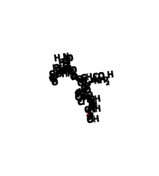 Cc1cccc2c(OC(=O)N(CCCC[C@H](N)C(=O)O)CCN(C)C(=O)OCc3ccc(NC(=O)[C@H](CCCNC(N)=O)NC(=O)[C@@H](NC(=O)OCCN4C(=O)C=CC4=O)C(C)C)cc3)cc3c(c12)[C@H](CCl)CN3C(=O)c1cc2cc(NC(=O)c3ccc(O)cc3)ncc2[nH]1